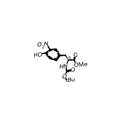 COC(=O)[C@H](Cc1ccc(O)c([N+](=O)[O-])c1)NC(=O)OC(C)(C)C